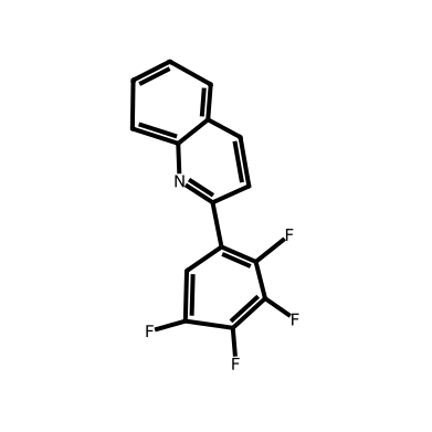 Fc1cc(-c2ccc3ccccc3n2)c(F)c(F)c1F